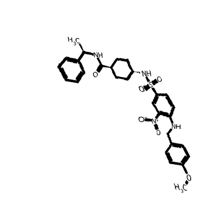 COc1ccc(CNc2ccc(S(=O)(=O)N[C@H]3CC[C@H](C(=O)N[C@H](C)c4ccccc4)CC3)cc2[N+](=O)[O-])cc1